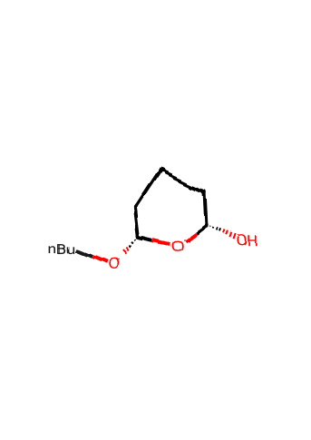 CCCCO[C@@H]1CCC[C@H](O)O1